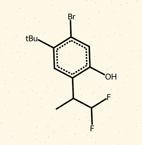 CC(c1cc(C(C)(C)C)c(Br)cc1O)C(F)F